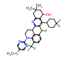 CSc1cnc(N2CCC(c3nc4c(c(C5CCC(F)(F)CC5)c3C(F)c3ccc(C(F)(F)F)cc3)C(O)CC(C)(C)C4)CC2)nc1